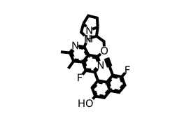 C#Cc1c(F)ccc2cc(O)cc(-c3nc4c5c(nc(C)c(C)c5c3F)N3CC5CCC(N5)C3CO4)c12